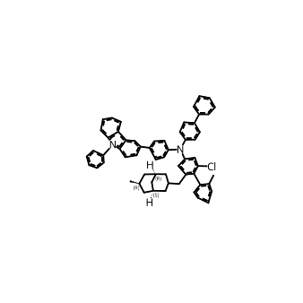 Cc1ccccc1-c1c(Cl)cc(N(c2ccc(-c3ccccc3)cc2)c2ccc(-c3ccc4c(c3)c3ccccc3n4-c3ccccc3)cc2)cc1CC1C[C@@H]2C[C@H](C)C[C@H](C1)C2